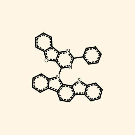 c1ccc(-c2nc(-n3c4ccccc4c4ccc5c6ccccc6sc5c43)c3oc4ccccc4c3n2)cc1